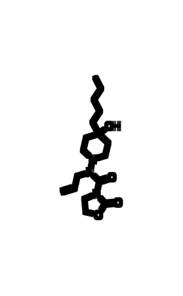 C=CCN(C(=O)N1CCOC1=O)N1CCC(O)(CCCCC)CC1